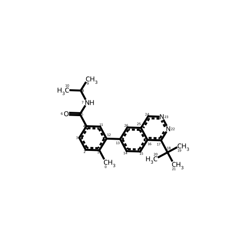 Cc1ccc(C(=O)NC(C)C)cc1-c1ccc2c(C(C)(C)C)nncc2c1